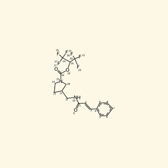 O=C(/C=C/c1ccccc1)NCC1CCN(C(=O)OC(C(F)(F)F)C(F)(F)F)C1